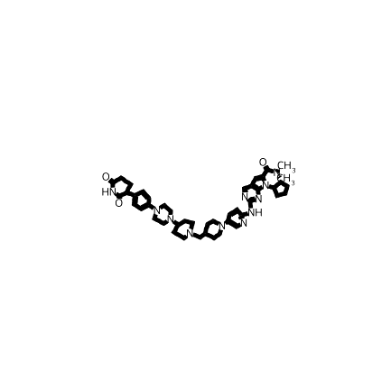 CN(C)C(=O)c1cc2cnc(Nc3ccc(N4CCC(CN5CCC(N6CCN(c7ccc(C8CCC(=O)NC8=O)cc7)CC6)CC5)CC4)cn3)nc2n1C1CCCC1